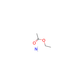 CCOC(C)=O.[N]